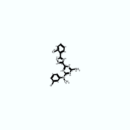 CN(c1cccc(F)c1)c1nc(N)nc(-c2noc(-c3ccccc3Cl)n2)n1